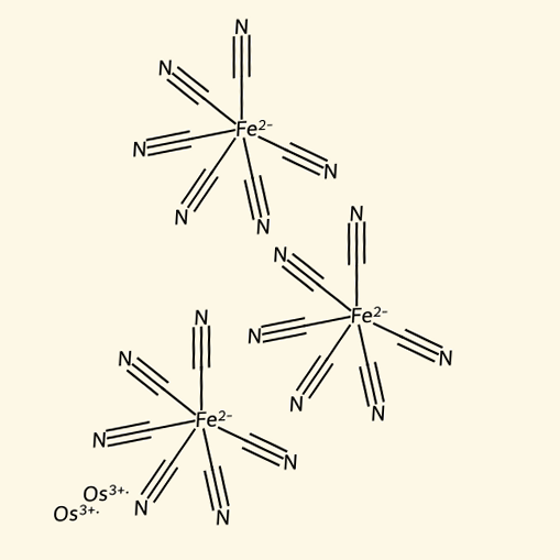 N#[C][Fe-2]([C]#N)([C]#N)([C]#N)([C]#N)[C]#N.N#[C][Fe-2]([C]#N)([C]#N)([C]#N)([C]#N)[C]#N.N#[C][Fe-2]([C]#N)([C]#N)([C]#N)([C]#N)[C]#N.[Os+3].[Os+3]